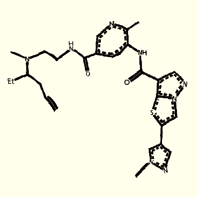 C=CCC(CC)N(C)CCNC(=O)c1cnc(C)c(NC(=O)c2cnn3cc(-c4cnn(C)c4)sc23)c1